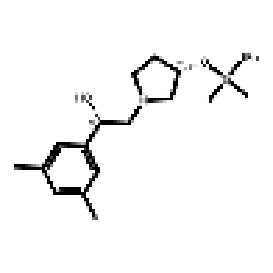 Cc1cc(C)cc([C@H](O)CN2CC[C@H](O[Si](C)(C)C(C)(C)C)C2)c1